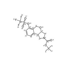 CC(C)(C)OC(=O)N1CC2OCc3c(OS(=O)(=O)C(F)(F)F)cccc3C2C1